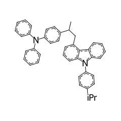 CC(C)c1ccc(-n2c3ccccc3c3c(CC(C)c4ccc(N(c5ccccc5)c5ccccc5)cc4)cccc32)cc1